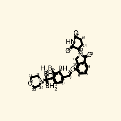 Bc1c(COc2cccc3c2CN(C2CCC(=O)NC2=O)C3=O)ccc(C(B)(B)N2CCOCC2)c1B